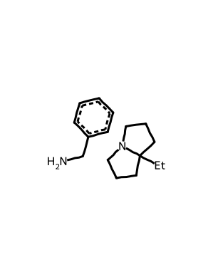 CCC12CCCN1CCC2.NCc1ccccc1